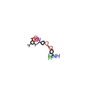 CC(C)c1cc(C(C)C)c2c(c1)C(C)C/C(c1ccc(OCCCOc3ccc(C(=N)C(F)(F)F)cc3)cc1)=N\OS2(=O)=O